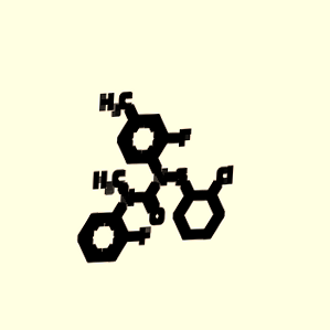 Cc1ccc(N(SC2CCCCC2Cl)C(=O)N(C)c2ccccc2F)c(F)c1